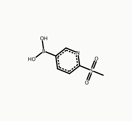 CS(=O)(=O)c1ccc(B(O)O)cn1